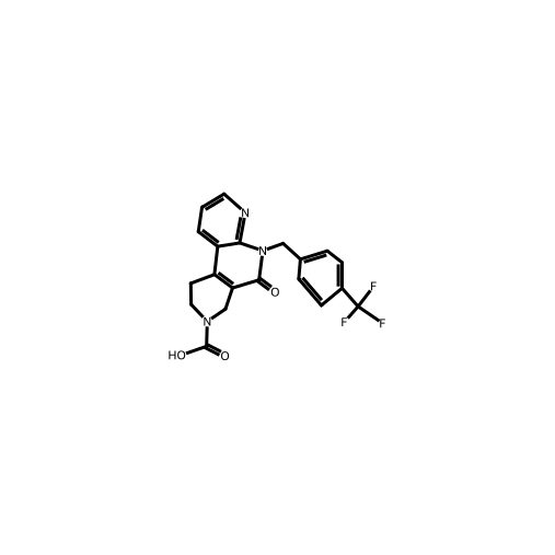 O=C(O)N1CCc2c(c(=O)n(Cc3ccc(C(F)(F)F)cc3)c3ncccc23)C1